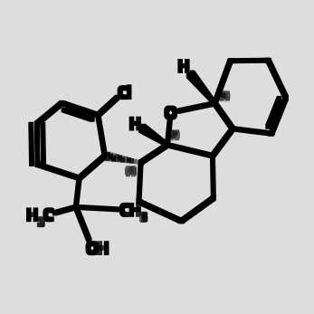 CC(C)(O)C1C#CC=C(Cl)C1[C@H]1CCCC2C3C=CCC[C@H]3O[C@H]21